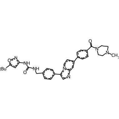 CN1CCN(C(=O)c2ccc(-c3ccn4c(-c5ccc(CNC(=O)Nc6cc(C(C)(C)C)on6)cc5)cnc4c3)cc2)CC1